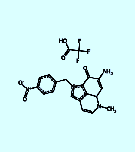 CN1C=Cc2cn(Cc3ccc([N+](=O)[O-])cc3)c3c2C1C=C(N)C3=O.O=C(O)C(F)(F)F